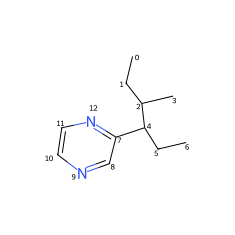 CCC(C)C(CC)c1cnccn1